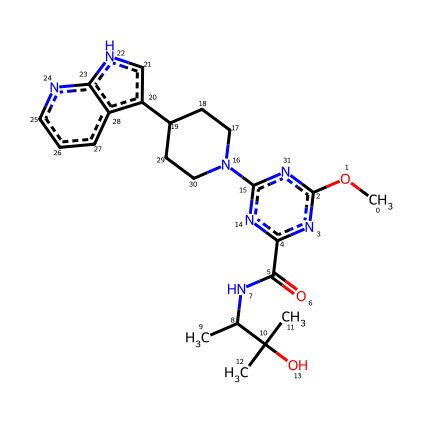 COc1nc(C(=O)NC(C)C(C)(C)O)nc(N2CCC(c3c[nH]c4ncccc34)CC2)n1